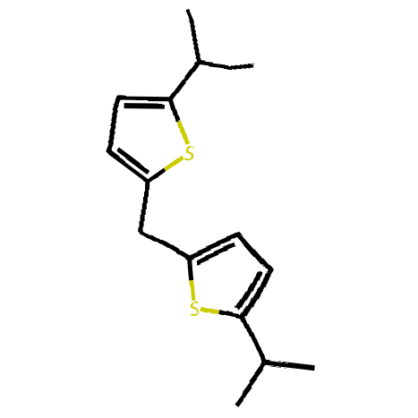 CC(C)c1ccc(Cc2ccc(C(C)C)s2)s1